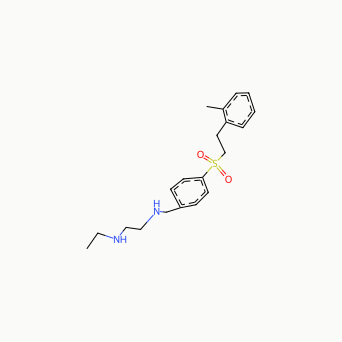 CCNCCNCc1ccc(S(=O)(=O)CCc2ccccc2C)cc1